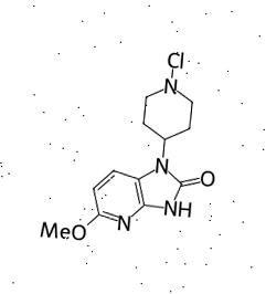 COc1ccc2c(n1)[nH]c(=O)n2C1CCN(Cl)CC1